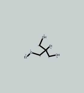 CCOCC(CC)(CO)CO